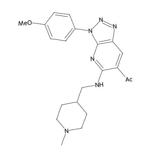 COc1ccc(-n2nnc3cc(C(C)=O)c(NCC4CCN(C)CC4)nc32)cc1